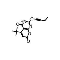 CCC#COc1nc2oc(=O)cc(C(C)(C)C)c2c(=O)[nH]1